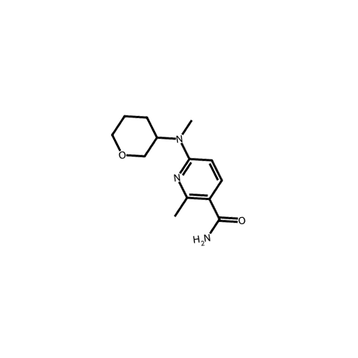 Cc1nc(N(C)C2CCCOC2)ccc1C(N)=O